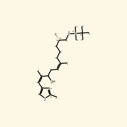 CC(=CCC(O)C(C)=Cc1csc(C)n1)CCC[C@H](C)CO[Si](C)(C)C(C)(C)C